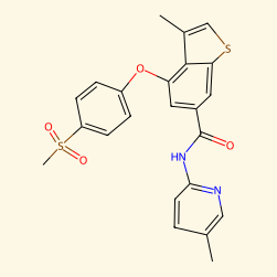 Cc1ccc(NC(=O)c2cc(Oc3ccc(S(C)(=O)=O)cc3)c3c(C)csc3c2)nc1